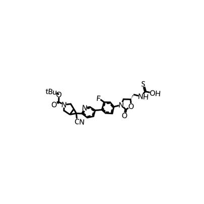 CC(C)(C)OC(=O)N1CC2C(C1)C2(C#N)c1ccc(-c2ccc(N3C[C@H](CNC(O)=S)OC3=O)cc2F)cn1